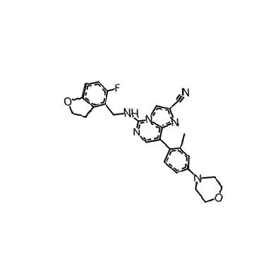 Cc1cc(N2CCOCC2)ccc1-c1cnc(NCc2c(F)ccc3c2CCO3)n2cc(C#N)nc12